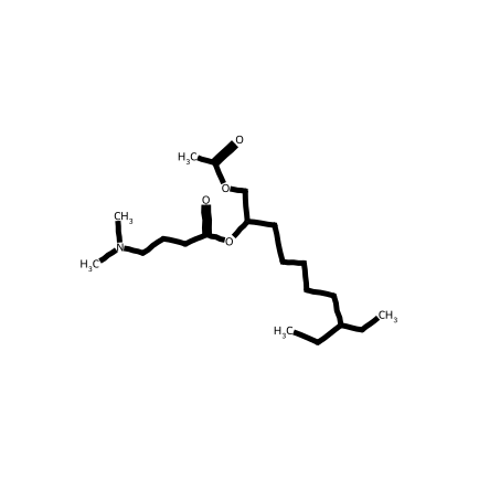 CCC(CC)CCCCCC(COC(C)=O)OC(=O)CCCN(C)C